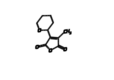 CC1=C(C2CCCCO2)C(=O)OC1=O